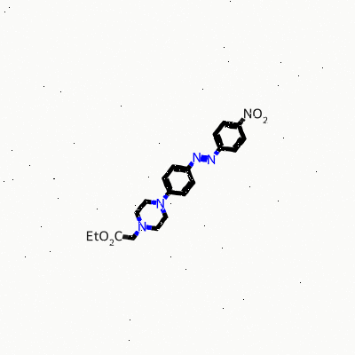 CCOC(=O)CN1CCN(c2ccc(/N=N/c3ccc([N+](=O)[O-])cc3)cc2)CC1